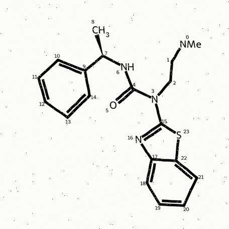 CNCCN(C(=O)N[C@H](C)c1ccccc1)c1nc2ccccc2s1